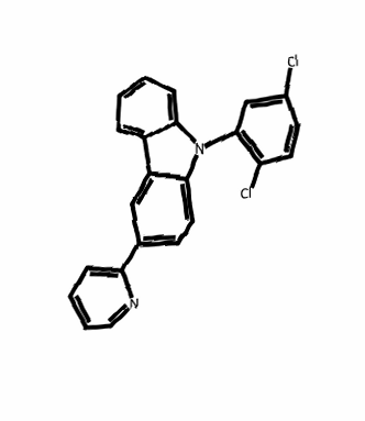 Clc1ccc(Cl)c(-n2c3ccccc3c3cc(-c4ccccn4)ccc32)c1